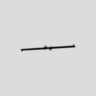 CC(C)CCCCCCCCCCCCCCCCCCCCCCCOC(=O)CCCCC(=O)OCCCCCCCCCCCCCCCCCCCCCCCC(C)C